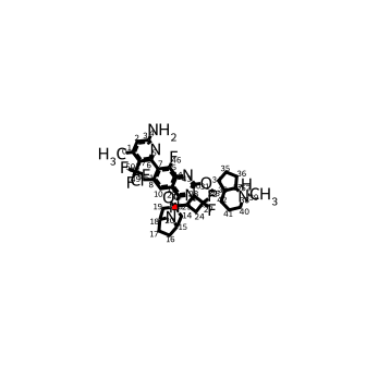 Cc1cc(N)nc(-c2c(Cl)cc3c(N4CC5CCC(C4)N5C(=O)C4CC(F)(F)C4)nc(OC[C@]45CCC[C@H]4N(C)CCC5)nc3c2F)c1C(F)(F)F